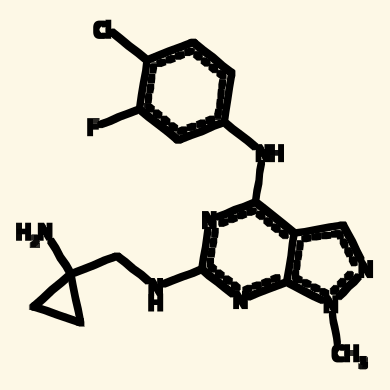 Cn1ncc2c(Nc3ccc(Cl)c(F)c3)nc(NCC3(N)CC3)nc21